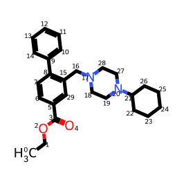 CCOC(=O)c1ccc(-c2ccccc2)c(CN2CCN(C3CCCCC3)CC2)c1